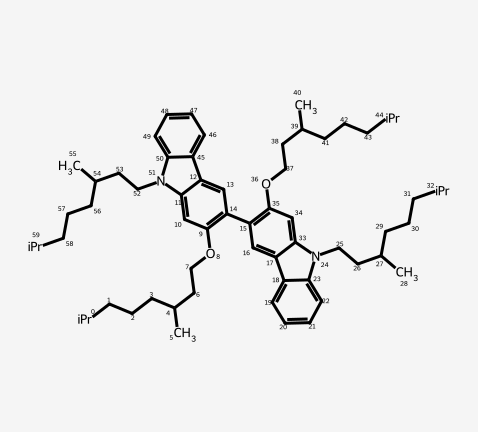 CC(C)CCCC(C)CCOc1cc2c(cc1-c1cc3c4ccccc4n(CCC(C)CCCC(C)C)c3cc1OCCC(C)CCCC(C)C)c1ccccc1n2CCC(C)CCCC(C)C